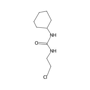 O=C(NCCCl)NC1CCCCC1